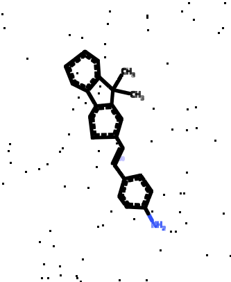 CC1(C)c2ccccc2-c2ccc(/C=C/c3ccc(N)cc3)cc21